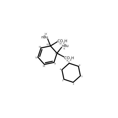 C1CCCCC1.CCCCC1(C(=O)O)C=CC=CC1(CCCC)C(=O)O